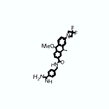 CO[C@@H]1c2ccc(C(=O)NCc3ccc(C(=N)N)cc3)cc2[C@H](C)c2cc(N3CC(F)(F)C3)ccc21